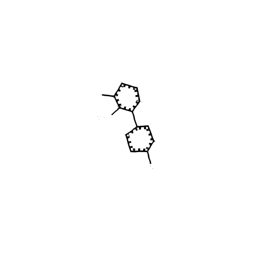 COc1c(O)cccc1-c1ccc(N)cc1